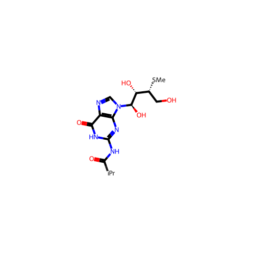 CS[C@H](CO)[C@@H](O)[C@@H](O)n1cnc2c(=O)[nH]c(NC(=O)C(C)C)nc21